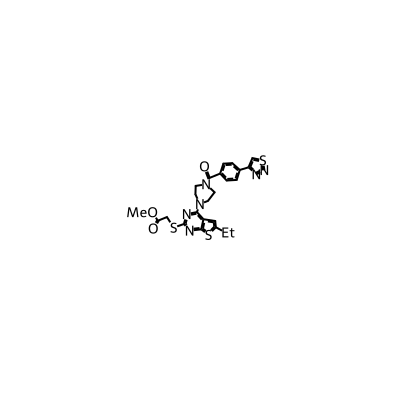 CCc1cc2c(N3CCN(C(=O)c4ccc(-c5csnn5)cc4)CC3)nc(SCC(=O)OC)nc2s1